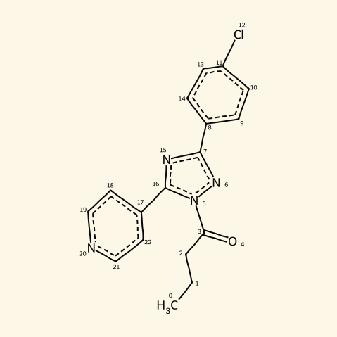 CCCC(=O)n1nc(-c2ccc(Cl)cc2)nc1-c1ccncc1